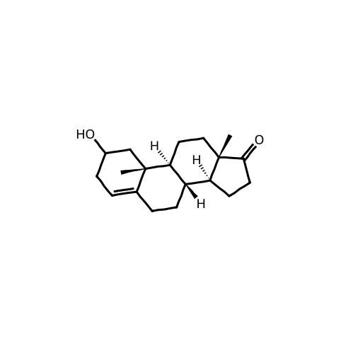 C[C@]12CC(O)CC=C1CC[C@@H]1[C@@H]2CC[C@]2(C)C(=O)CC[C@@H]12